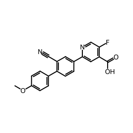 COc1ccc(-c2ccc(-c3cc(C(=O)O)c(F)cn3)cc2C#N)cc1